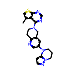 Cc1csc2ncnc(N3CCc4ncc(N5CCCn6nccc65)cc4C3)c12